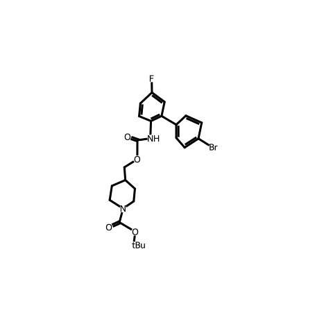 CC(C)(C)OC(=O)N1CCC(COC(=O)Nc2ccc(F)cc2-c2ccc(Br)cc2)CC1